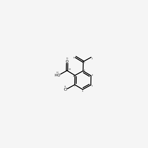 C=C(C)c1cccc(Cl)c1C(=O)O